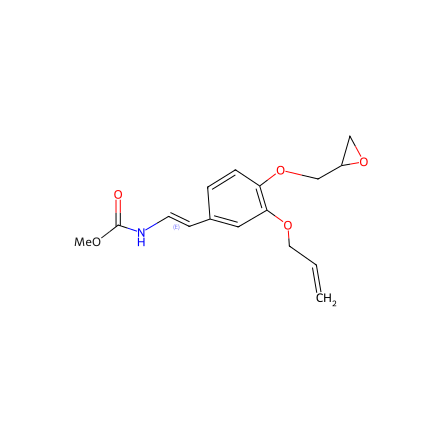 C=CCOc1cc(/C=C/NC(=O)OC)ccc1OCC1CO1